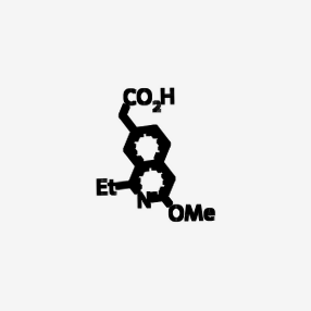 CCc1nc(OC)cc2ccc(CC(=O)O)cc12